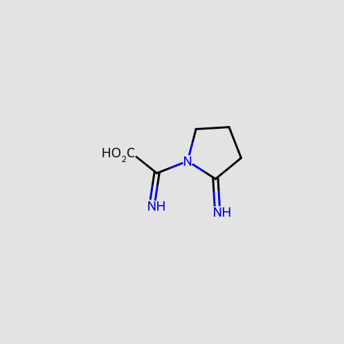 N=C1CCCN1C(=N)C(=O)O